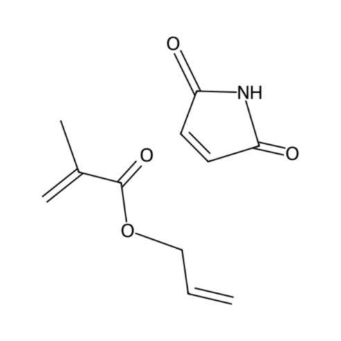 C=CCOC(=O)C(=C)C.O=C1C=CC(=O)N1